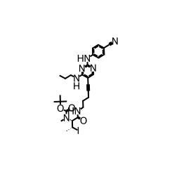 CCCNc1nc(Nc2ccc(C#N)cc2)ncc1C#CCCCNC(=O)[C@H]([C@@H](C)I)N(C)C(=O)OC(C)(C)C